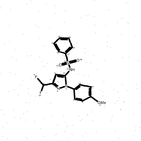 COc1ccc(-n2nc(C(F)F)cc2NS(=O)(=O)c2ccccc2)cc1